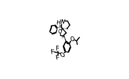 CC(C)Oc1ccc(OC(F)(F)F)cc1[C@H]1CO[C@]2(CCCN[C@H]2c2ccccc2)C1